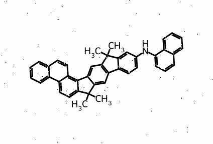 CC1(C)c2cc(Nc3cccc4ccccc34)ccc2-c2cc3c(cc21)-c1c(ccc2c1ccc1ccccc12)C3(C)C